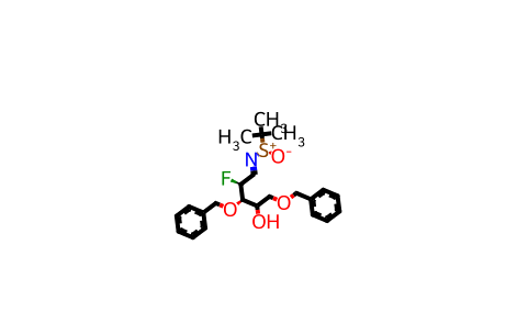 CC(C)(C)[S@@+]([O-])/N=C/[C@H](F)[C@H](OCc1ccccc1)C(O)COCc1ccccc1